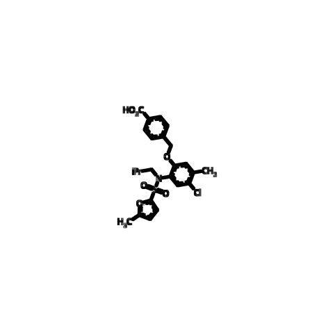 Cc1ccc(S(=O)(=O)N(CC(C)C)c2cc(Cl)c(C)cc2OCc2ccc(C(=O)O)cc2)o1